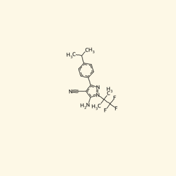 CC(C)c1ccc(-c2nn(C(C)(C)C(F)(F)F)c(N)c2C#N)cc1